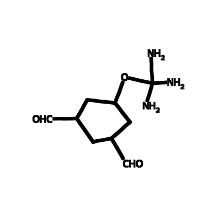 NC(N)(N)OC1CC(C=O)CC(C=O)C1